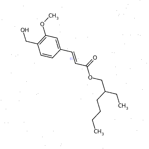 CCCCC(CC)COC(=O)/C=C/c1ccc(CO)c(OC)c1